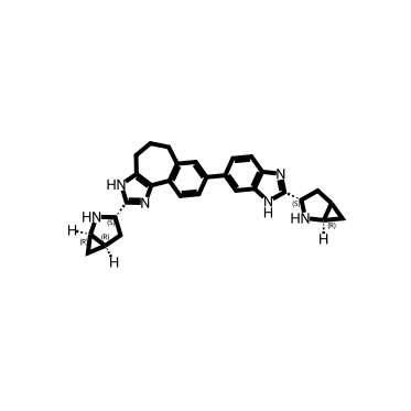 c1cc2c(cc1-c1ccc3nc([C@@H]4CC5C[C@H]5N4)[nH]c3c1)CCCc1[nH]c([C@@H]3C[C@H]4C[C@H]4N3)nc1-2